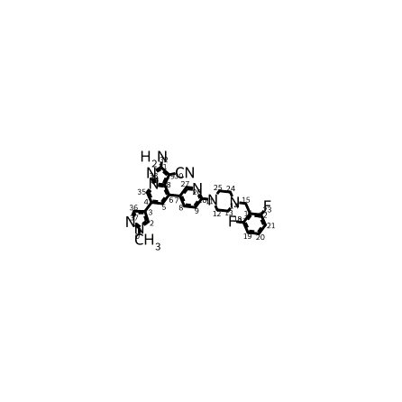 Cn1cc(-c2cc(-c3ccc(N4CCN(Cc5c(F)cccc5F)CC4)nc3)c3c(C#N)c(N)nn3c2)cn1